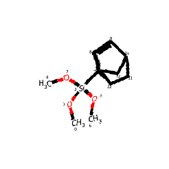 CO[Si](OC)(OC)C12C=CC(CC1)C2